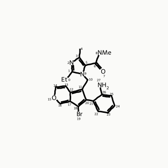 CCc1nc(C)c(C(=O)NC)n1Cc1c2ccocc-2c(Br)c1-c1ccccc1N